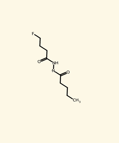 CCCCC(=O)[N]NC(=O)CCCF